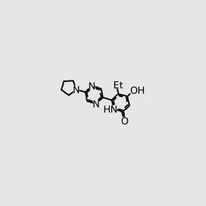 CCc1c(O)cc(=O)[nH]c1-c1cnc(N2CCCC2)cn1